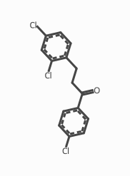 O=C(CCc1ccc(Cl)cc1Cl)c1ccc(Cl)cc1